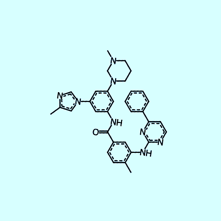 Cc1cn(-c2cc(NC(=O)c3ccc(C)c(Nc4nccc(-c5ccccc5)n4)c3)cc(N3CCCN(C)C3)c2)cn1